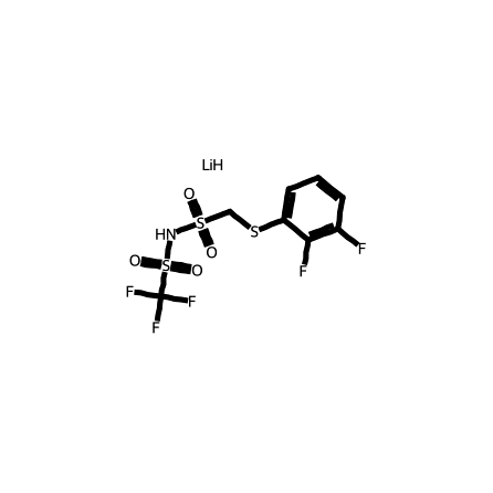 O=S(=O)(CSc1cccc(F)c1F)NS(=O)(=O)C(F)(F)F.[LiH]